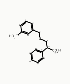 O=C(O)c1cccc(CCCC(C(=O)O)c2ccccc2)c1